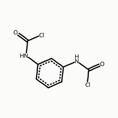 O=C(Cl)Nc1cccc(NC(=O)Cl)c1